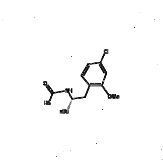 CCCC[C@@H](Cc1ccc(Cl)cc1OC)NC(=O)S